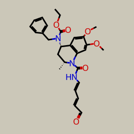 CCOC(=O)N(Cc1ccccc1)[C@H]1C[C@@H](C)N(C(=O)NC=CC=CC=O)c2cc(OC)c(OC)cc21